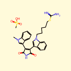 CS(=O)(=O)O.Cn1cc(C2=C(c3cn(CCCCCSC(=N)N)c4ccccc34)C(=O)NC2=O)c2ccccc21